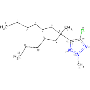 CCCCCCC(C)(CCCCC)c1nn(C)nc1Cl